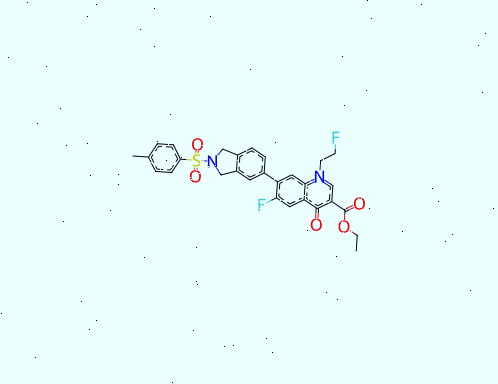 CCOC(=O)c1cn(CCF)c2cc(-c3ccc4c(c3)CN(S(=O)(=O)c3ccc(C)cc3)C4)c(F)cc2c1=O